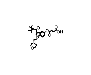 CC1(C)C(C(=O)c2cn(CCN3CCOCC3)c3ccc(OC(=O)C=CC(=O)O)cc23)C1(C)C